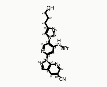 CC(C)Nc1cc(-n2ncc3cc(C#N)cnc32)ncc1-n1cc(CCCO)nn1